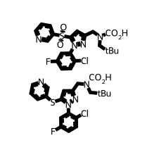 CC(C)(C)CN(Cc1cc(S(=O)(=O)c2cccnc2)n(-c2cc(F)ccc2Cl)n1)C(=O)O.CC(C)(C)CN(Cc1cc(Sc2cccnc2)n(-c2cc(F)ccc2Cl)n1)C(=O)O